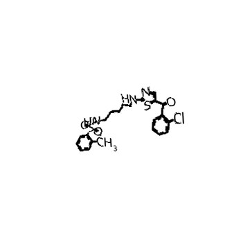 Cc1ccccc1S(=O)(=O)NCCCCCNc1ncc(C(=O)c2ccccc2Cl)s1